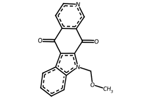 COCn1c2c(c3ccccc31)C(=O)c1ccncc1C2=O